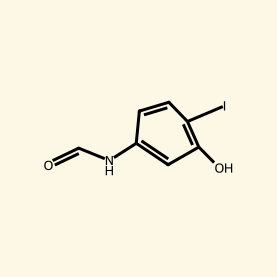 O=CNc1ccc(I)c(O)c1